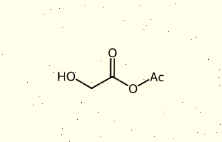 CC(=O)OC(=O)CO